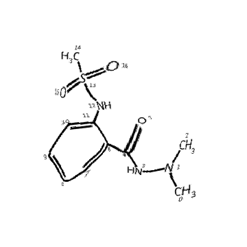 CN(C)NC(=O)c1ccccc1NS(C)(=O)=O